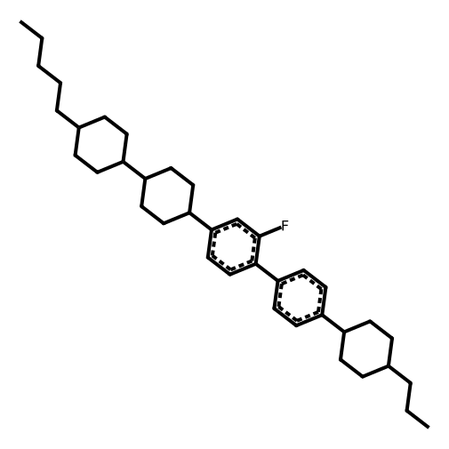 CCCCCC1CCC(C2CCC(c3ccc(-c4ccc(C5CCC(CCC)CC5)cc4)c(F)c3)CC2)CC1